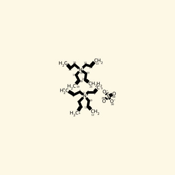 C=CC[N+](CC=C)(CC=C)CC=C.C=CC[N+](CC=C)(CC=C)CC=C.O=S(=O)([O-])[O-]